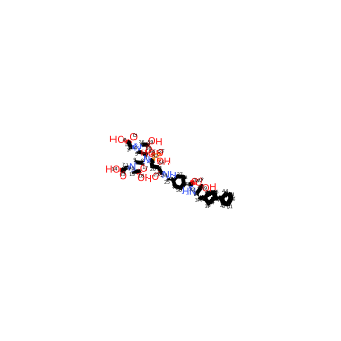 O=C(O)CN(CCN(CCN(CC(=O)O)CC(=O)O)C(CCC(=O)NC[C@H]1CC[C@H](C(=O)N[C@@H](Cc2ccc(-c3ccccc3)cc2)C(=O)O)CC1)P(=O)(O)O)CC(=O)O